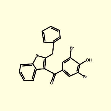 O=C(c1cc(Br)c(O)c(Br)c1)c1c(Cc2ccccc2)sc2ccccc12